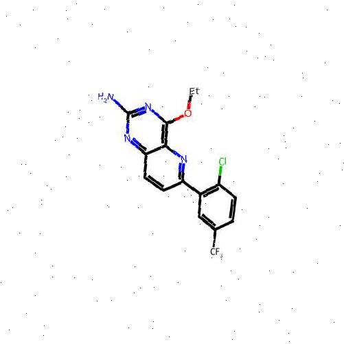 CCOc1nc(N)nc2ccc(-c3cc(C(F)(F)F)ccc3Cl)nc12